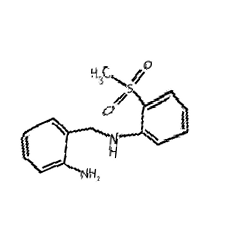 CS(=O)(=O)c1ccccc1NCc1ccccc1N